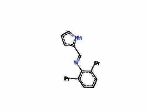 CC(C)c1cccc(C(C)C)c1N=Cc1ccc[nH]1